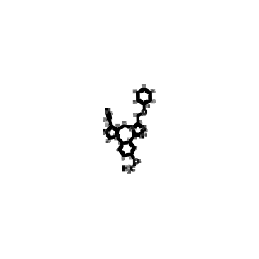 COc1ccc2c(c1)-c1nnc(COc3ccccc3)n1Cc1c(C#N)ncn1-2